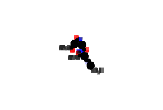 COC(=O)c1ccc(C(=O)N(C)c2ccc(C(=O)Nc3ccc(/C=C/c4ccc(S(=O)(=O)O)cc4)cc3C(=O)OC)cc2)cc1